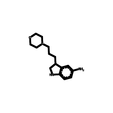 Nc1ccc2c(c1)C(CCCN1CCOCC1)CN2